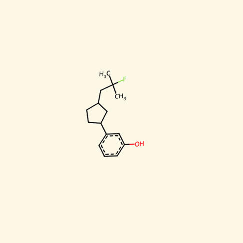 CC(C)(F)CC1CCC(c2cccc(O)c2)C1